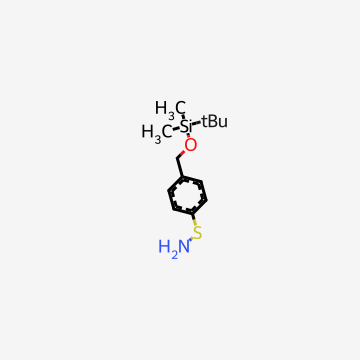 CC(C)(C)[Si](C)(C)OCc1ccc(SN)cc1